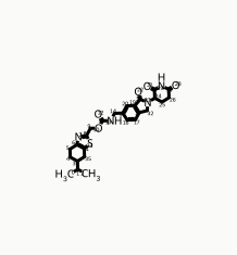 CC(C)C1CCc2nc(COC(=O)NCc3ccc4c(c3)C(=O)N(C3CCC(=O)NC3=O)C4)sc2C1